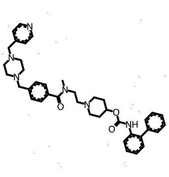 CN(CCN1CCC(OC(=O)Nc2ccccc2-c2ccccc2)CC1)C(=O)c1ccc(CN2CCN(Cc3ccncc3)CC2)cc1